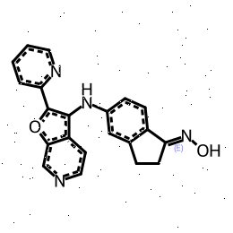 O/N=C1\CCc2cc(Nc3c(-c4ccccn4)oc4cnccc34)ccc21